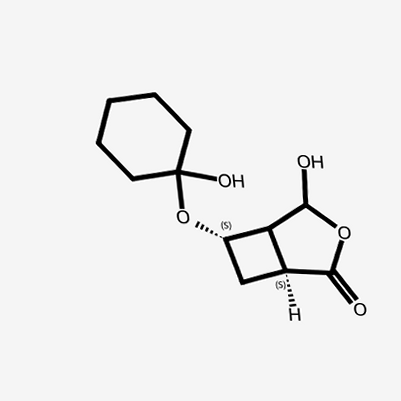 O=C1OC(O)C2[C@@H](OC3(O)CCCCC3)C[C@H]12